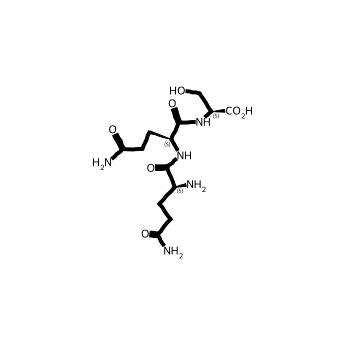 NC(=O)CC[C@H](NC(=O)[C@@H](N)CCC(N)=O)C(=O)N[C@@H](CO)C(=O)O